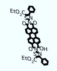 CCOC(=O)c1sc(N2C(=O)c3ccc4c5ccc6c7c(ccc(c8ccc(c3c48)C2=O)c75)C(O)N(c2nc(-c3ccccc3)c(C(=O)OCC)s2)C6=O)nc1-c1ccccc1